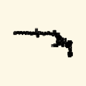 CCCCc1cc(NC(=O)Nc2ccc(OCCN3CCOCC3)c3ccccc23)n(-c2cccc(CNC(=O)OCCOCCOCCOC(=O)NCCOCCOCCCCCCCl)c2)n1